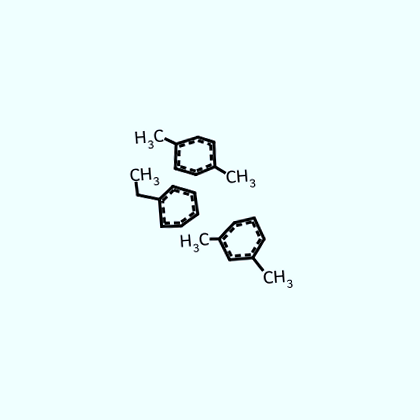 CCc1ccccc1.Cc1ccc(C)cc1.Cc1cccc(C)c1